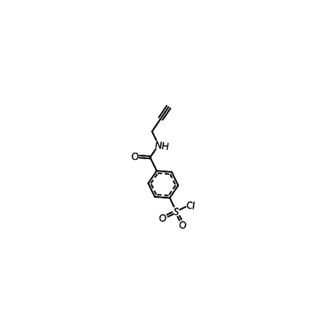 C#CCNC(=O)c1ccc(S(=O)(=O)Cl)cc1